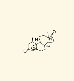 C[C@@H]1CC(=O)C=C2CC[C@@H]3[C@H](CC[C@]4(C)C(=O)CC[C@@H]34)[C@]21CO